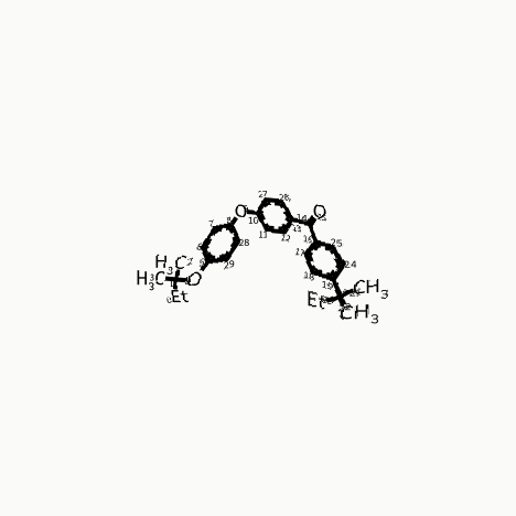 CCC(C)(C)Oc1ccc(Oc2ccc(C(=O)c3ccc(C(C)(C)CC)cc3)cc2)cc1